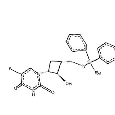 CC(C)(C)[Si](OC[C@H]1C[C@@H](n2cc(F)c(=O)[nH]c2=O)[C@@H]1O)(c1ccccc1)c1ccccc1